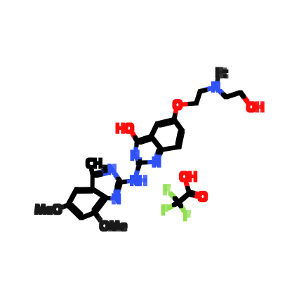 CCN(CCO)CCOc1ccc2nc(Nc3nc(C)c4cc(OC)cc(OC)c4n3)nc(O)c2c1.O=C(O)C(F)(F)F